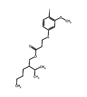 CCCCC(COC(=O)CCSc1ccc(I)c(SC)c1)C(C)C